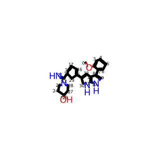 COc1ccccc1-c1c[nH]c2c1C=C(C1=CC=CC(C(=N)N3CCC(O)CC3)C1)CN2